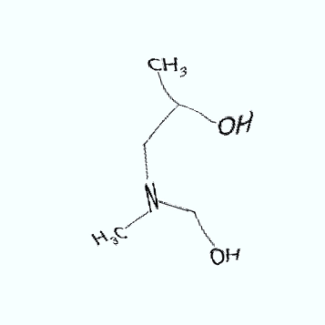 CC(O)CN(C)CO